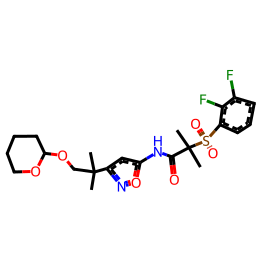 CC(C)(COC1CCCCO1)c1cc(NC(=O)C(C)(C)S(=O)(=O)c2cccc(F)c2F)on1